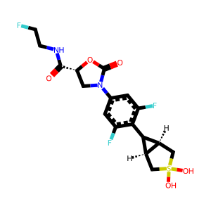 O=C(NCCF)[C@H]1CN(c2cc(F)c(C3[C@H]4CS(O)(O)C[C@@H]34)c(F)c2)C(=O)O1